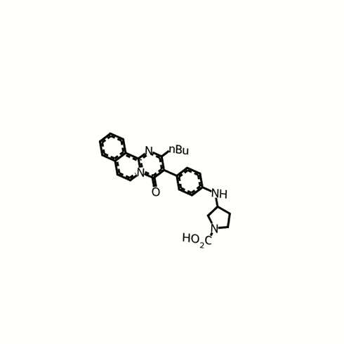 CCCCc1nc2c3ccccc3ccn2c(=O)c1-c1ccc(NC2CCN(C(=O)O)C2)cc1